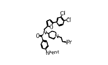 CCCCCc1ccc(C(=O)N(Cc2ccc(-c3ccc(Cl)c(Cl)c3)o2)C2CCN(CCC(C)C)CC2)cc1